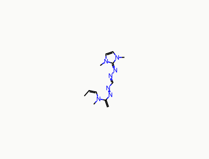 C=C(/N=N/C=N/N=c1n(C)ccn1C)N(C)/C=C\C